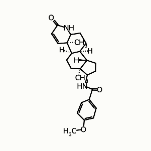 COc1ccc(C(=O)NC2CC[C@H]3[C@@H]4CCC5NC(=O)C=C[C@]5(C)[C@@H]4CC[C@]23C)cc1